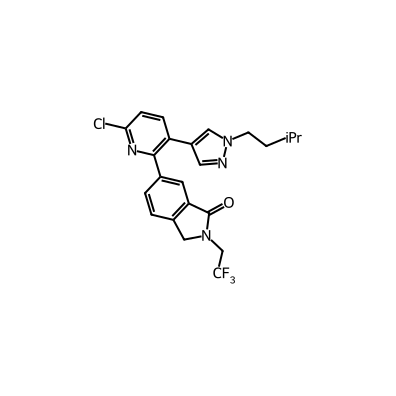 CC(C)CCn1cc(-c2ccc(Cl)nc2-c2ccc3c(c2)C(=O)N(CC(F)(F)F)C3)cn1